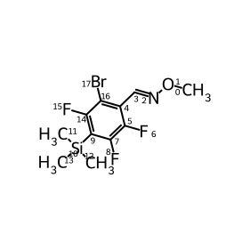 CON=Cc1c(F)c(F)c([Si](C)(C)C)c(F)c1Br